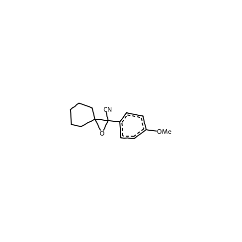 COc1ccc(C2(C#N)OC23CCCCC3)cc1